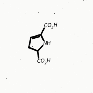 O=C(O)C1=CCC(C(=O)O)N1